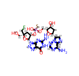 Nc1nc2c(nnn2[C@@H]2O[C@@](CO)(CF)C[C@H]2OP(O)(=S)OC[C@H]2O[C@@H](c3cnc4c(N)ncnn34)C[C@@H]2O)c(=O)[nH]1